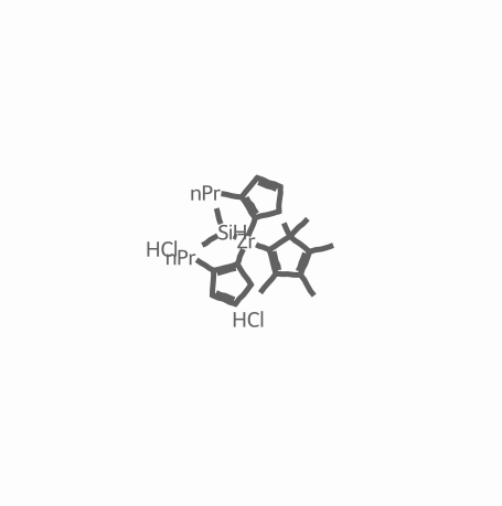 CCCC1=[C]([Zr]([C]2=C(CCC)C=CC2)([C]2=C(C)C(C)=C(C)C2(C)C)[SiH](C)C)CC=C1.Cl.Cl